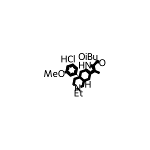 CCN1CC[C@@]2(c3cccc(OC)c3)Cc3[nH]c(C(=O)OCC(C)C)c(C)c3C[C@@H]2C1.Cl